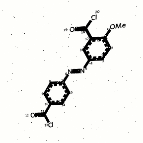 COc1ccc(N=Nc2ccc(C(=O)Cl)cc2)cc1C(=O)Cl